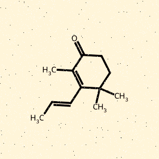 C/C=C/C1=C(C)C(=O)CCC1(C)C